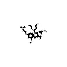 CCC[C@@H](CCO)Nc1nc(N)nc(C)c1Cc1ccc(OCCN(C)C)cc1OC